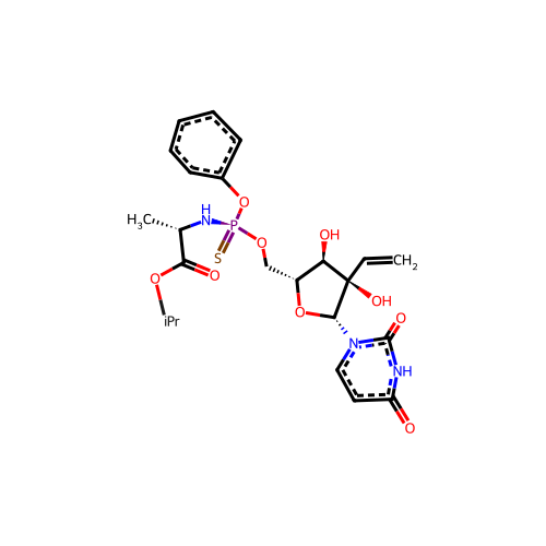 C=C[C@@]1(O)[C@H](O)[C@@H](CO[P@@](=S)(N[C@@H](C)C(=O)OC(C)C)Oc2ccccc2)O[C@H]1n1ccc(=O)[nH]c1=O